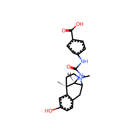 CN1CC[C@]2(C)c3cc(O)ccc3CC1[C@@H]2N(C)C(=O)Nc1ccc(C(=O)O)cc1